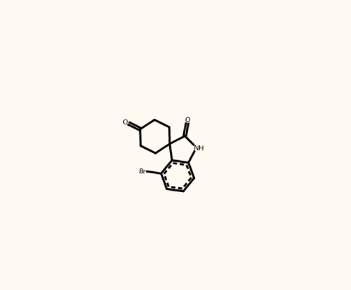 O=C1CCC2(CC1)C(=O)Nc1cccc(Br)c12